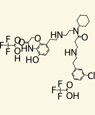 O=C(O)C(F)(F)F.O=C(O)C(F)(F)F.O=C1COc2c(CCNCCN(C(=O)CCNCCc3cccc(Cl)c3)C3CCCCC3)ccc(O)c2N1